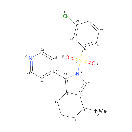 CNC1CCCc2c1cn(S(=O)(=O)c1cccc(Cl)c1)c2-c1ccncc1